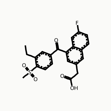 CCc1cc(C(=O)c2cc(CC(=O)O)cc3ccc(F)cc23)ccc1S(C)(=O)=O